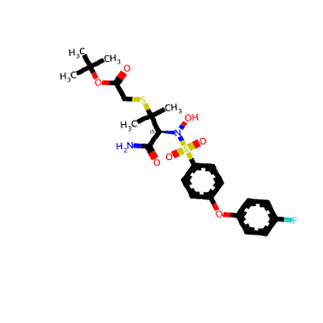 CC(C)(C)OC(=O)CSC(C)(C)[C@H](C(N)=O)N(O)S(=O)(=O)c1ccc(Oc2ccc(F)cc2)cc1